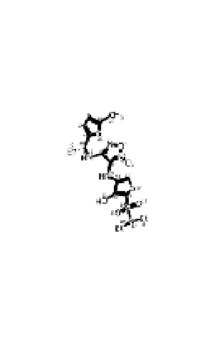 CC[C@@H](Nc1no[n+]([O-])c1Nc1csc(S(=O)(=O)N(CC)CC)c1O)c1ccc(C)s1